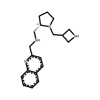 c1ccc2nc(CNC[C@@H]3CCCN3CC3CNC3)ccc2c1